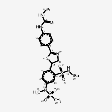 CC(C)NC(=O)Nc1ccc(C2=NCC(c3ccc(N(C)S(C)(=O)=O)cc3S(=O)(=O)NC(C)(C)C)S2)cc1